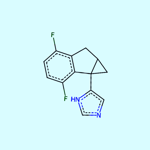 Fc1ccc(F)c2c1CC1CC21c1cnc[nH]1